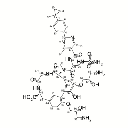 Cc1nc(-c2ccc(C3(C)CC3)cc2)nc(C)c1C(=O)N[C@@H](CNS(N)(=O)=O)C(=O)N(C)[C@@H]1C(=O)N[C@@H](C)C(=O)N[C@H](C(=O)O)Cc2ccc(OC[C@H](O)CN)c(c2)-c2cc1cc(OC[C@H](O)CN)c2O